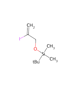 C=C(I)CO[Si](C)(C)C(C)(C)C